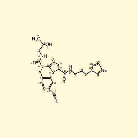 CC(O)CNC(=O)N(Cc1ccc(C#N)cc1)c1ncc(C(=O)NCCCn2ccnc2)s1